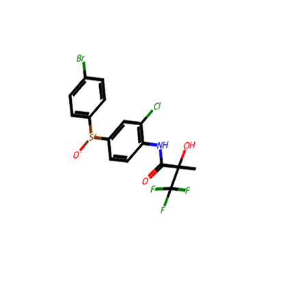 CC(O)(C(=O)Nc1ccc([S+]([O-])c2ccc(Br)cc2)cc1Cl)C(F)(F)F